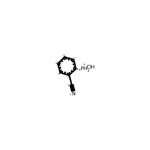 Cl.N#Cc1ccccc1.P